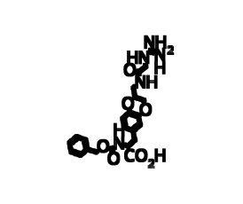 N=C(N)NCC(=O)NCC1COc2cc(C[C@H](NC(=O)OCc3ccccc3)C(=O)O)ccc2O1